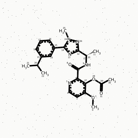 COc1ccnc(C(=O)N[C@@H](C)c2nc(-c3cccc(C(C)C)c3)n(C)n2)c1OC(C)=O